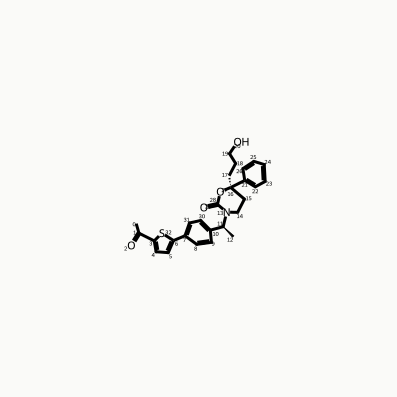 CC(=O)c1ccc(-c2ccc([C@H](C)N3CC[C@](CCCO)(c4ccccc4)OC3=O)cc2)s1